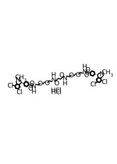 CN1Cc2c(Cl)cc(Cl)cc2[C@H](c2ccc(S(=O)(=O)NCCOCCOCCNC(=O)CCC(=O)NCCOCCOCCNS(=O)(=O)c3ccc([C@@H]4CN(C)Cc5c(Cl)cc(Cl)cc54)cc3)cc2)C1.Cl.Cl